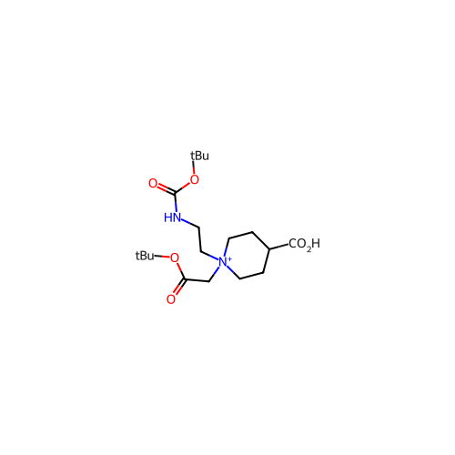 CC(C)(C)OC(=O)C[N+]1(CCNC(=O)OC(C)(C)C)CCC(C(=O)O)CC1